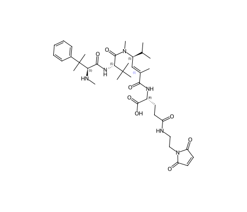 CN[C@H](C(=O)N[C@H](C(=O)N(C)[C@H](/C=C(\C)C(=O)N[C@H](CCC(=O)NCCN1C(=O)C=CC1=O)C(=O)O)C(C)C)C(C)(C)C)C(C)(C)c1ccccc1